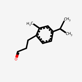 Cc1cc(C(C)C)ccc1CCC=O